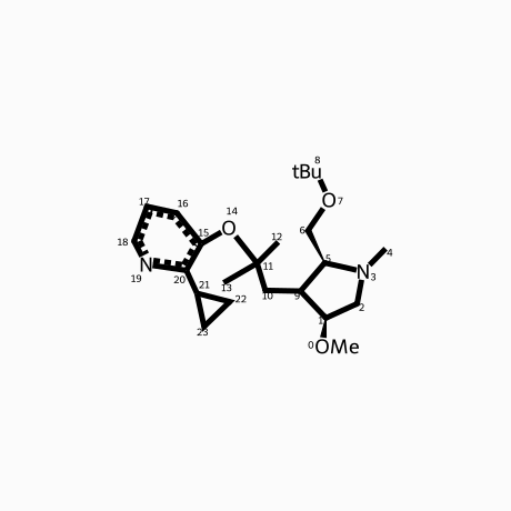 CO[C@@H]1CN(C)[C@H](COC(C)(C)C)C1CC(C)(C)Oc1cccnc1C1CC1